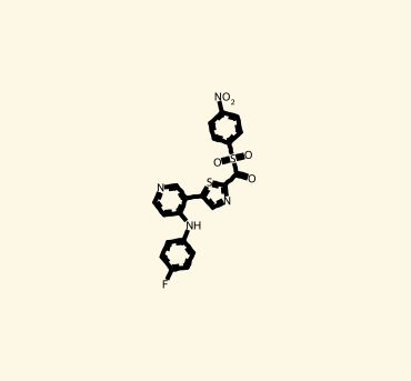 O=C(c1ncc(-c2cnccc2Nc2ccc(F)cc2)s1)S(=O)(=O)c1ccc([N+](=O)[O-])cc1